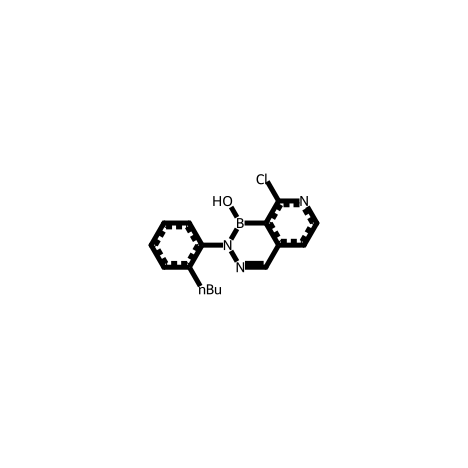 CCCCc1ccccc1N1N=Cc2ccnc(Cl)c2B1O